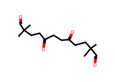 CC(C)(C=O)CCC(=O)CCC(=O)CCC(C)(C)C=O